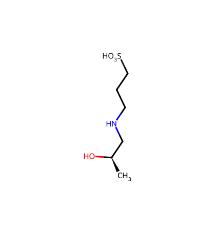 C[C@@H](O)CNCCCS(=O)(=O)O